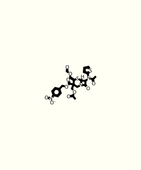 CC(=O)OCC1(C(=O)OCc2ccc([N+](=O)[O-])cc2)CN2C(=O)C(N(C(C)=O)c3cccs3)[C@H]2SC1=COC=O